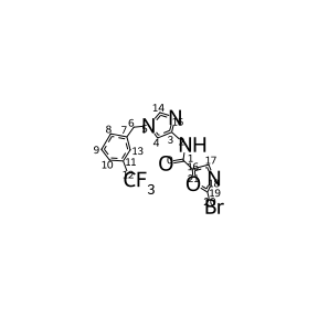 O=C(Nc1cn(Cc2cccc(C(F)(F)F)c2)cn1)c1cnc(Br)o1